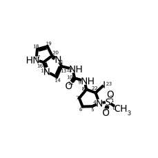 CS(=O)(=O)N1CCCC(NC(=O)Nc2cnc3[nH]ccc3n2)C1I